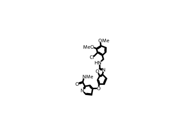 CNC(=O)c1cc(Oc2ccc3nc(NCc4ccc(OC)c(OC)c4Cl)oc3c2)ccn1